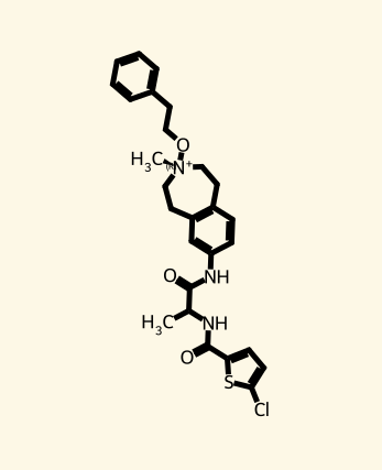 CC(NC(=O)c1ccc(Cl)s1)C(=O)Nc1ccc2c(c1)CC[N@+](C)(OCCc1ccccc1)CC2